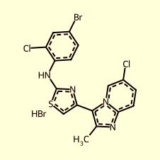 Br.Cc1nc2ccc(Cl)cn2c1-c1csc(Nc2ccc(Br)cc2Cl)n1